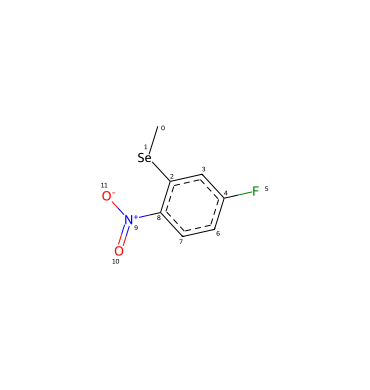 C[Se]c1cc(F)ccc1[N+](=O)[O-]